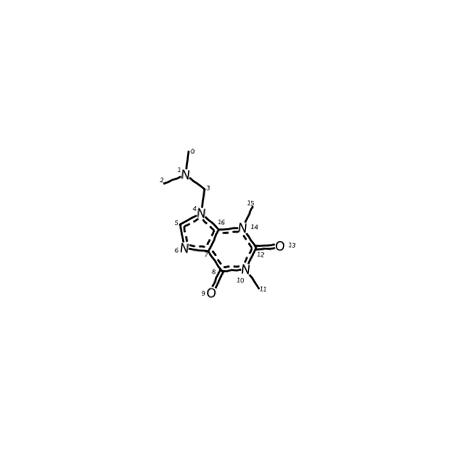 CN(C)Cn1cnc2c(=O)n(C)c(=O)n(C)c21